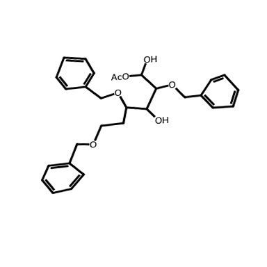 CC(=O)OC(O)C(OCc1ccccc1)C(O)C(CCOCc1ccccc1)OCc1ccccc1